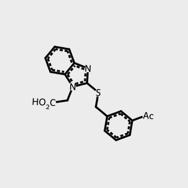 CC(=O)c1cccc(CSc2nc3ccccc3n2CC(=O)O)c1